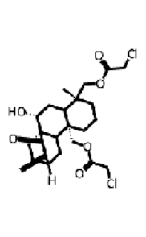 C=C1C(=O)[C@]23CC[C@H]1CC2[C@]1(COC(=O)CCl)CCC[C@@](C)(COC(=O)CCl)C1C[C@H]3O